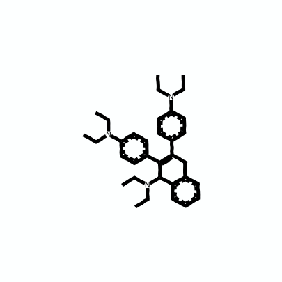 CCN(CC)c1ccc(C2=C(c3ccc(N(CC)CC)cc3)C(N(CC)CC)c3ccccc3[CH]2)cc1